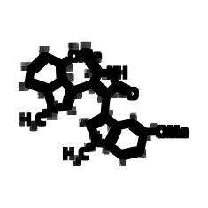 COc1ccc2c(c1)c(C1=C(c3cn(C)c4cccc(OC)c34)C(=O)NC1=O)cn2C